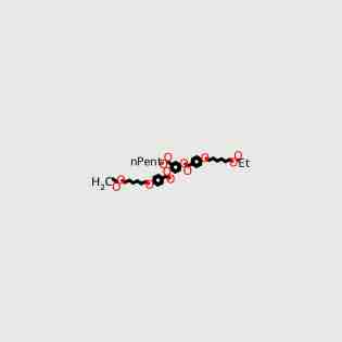 C=CC(=O)OCCCCCCOc1ccc(C(=O)Oc2ccc(OC(=O)c3ccc(OCCCCCCOC(=O)CC)cc3)cc2C(=O)OCCCCC)cc1